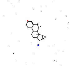 C=C1C[C@H]2[C@@H]3[C@H]4C[C@H]4[C@H](C#N)[C@@]3(C)CC[C@@H]2[C@@]2(C)CCC(=O)C=C12